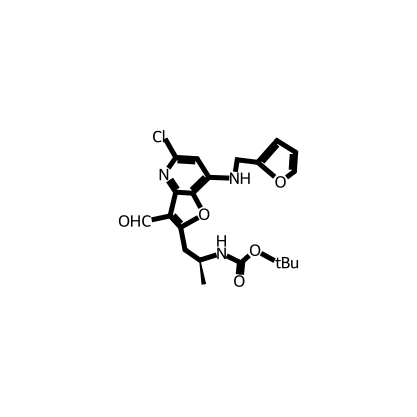 C[C@@H](Cc1oc2c(NCc3ccco3)cc(Cl)nc2c1C=O)NC(=O)OC(C)(C)C